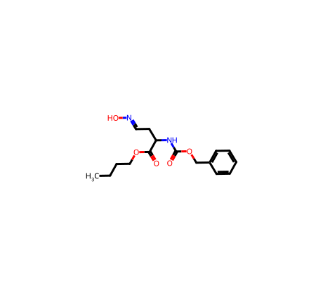 CCCCOC(=O)C(C/C=N/O)NC(=O)OCc1ccccc1